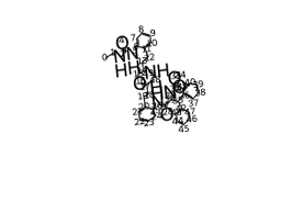 CCNC(=O)Nc1ccccc1CC[C@@H]1CO[C@H](CCc2ccccc2NC(=O)[C@@H](NC(=O)OC)C(c2ccccc2)c2ccccc2)CN1